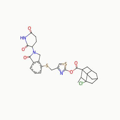 CC1C2(Cl)CC3CC(C2)CC1(C(=O)Oc1nc(CSc2cccc4c2CN(C2CCC(=O)NC2=O)C4=O)cs1)C3